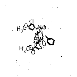 COC(=O)c1csc(NC(=O)[C@H](Cc2ccccc2)N2C(=O)N[C@H](c3ccc(OC)c(Cl)c3)C2=O)n1